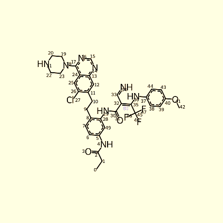 CCC(=O)Nc1ccc(CCc2cc3ncnc(N4CCNCC4)c3cc2Cl)c(NC(=O)/C(C=N)=C(/Nc2ccc(OC)cc2)C(F)(F)F)c1